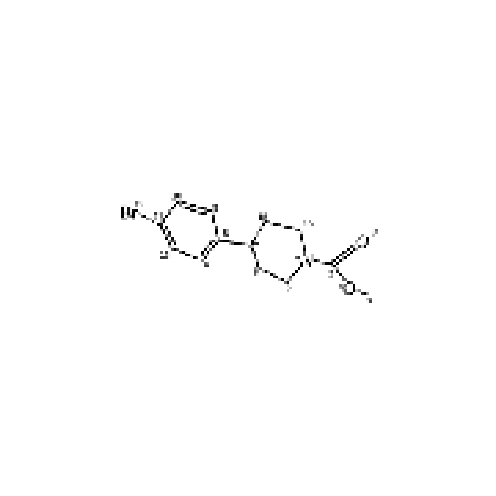 COC(=O)N1CCC(c2ccc(Br)cc2)CC1